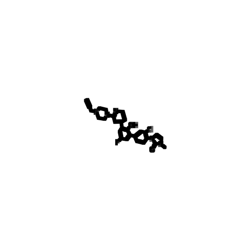 C#CCN1CCN(c2cc(-c3cc(F)cc(-c4ccc(-n5ccn(C)c5=O)c(Cl)c4)c3O)ccn2)CC1